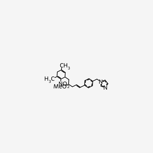 COC(CC=Cc1ccc(Cn2ccnc2)cc1)CC1C=C(C)CC(C)=C1[N+](=O)[O-]